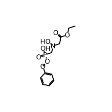 CCOC(=O)CN(O)CP(=O)(O)OOc1ccccc1